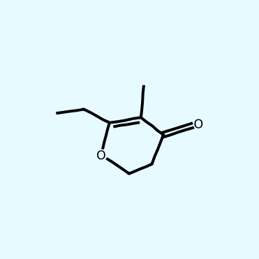 CCC1=C(C)C(=O)CCO1